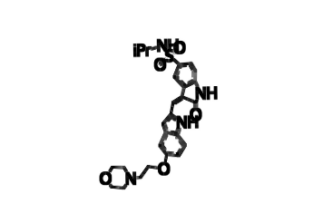 CC(C)NS(=O)(=O)c1ccc2c(c1)C(=Cc1cc3cc(OCCN4CCOCC4)ccc3[nH]1)C(=O)N2